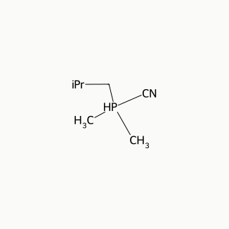 CC(C)C[PH](C)(C)C#N